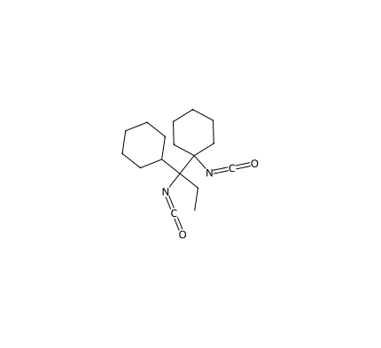 CCC(N=C=O)(C1CCCCC1)C1(N=C=O)CCCCC1